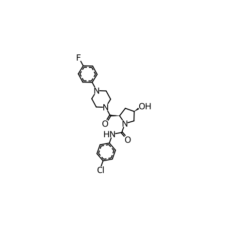 O=C([C@H]1C[C@@H](O)CN1C(=O)Nc1ccc(Cl)cc1)N1CCN(c2ccc(F)cc2)CC1